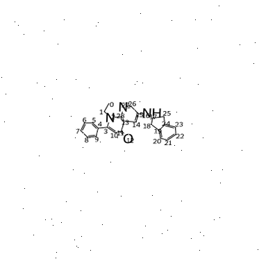 CCn1c(-c2ccccc2)cc(=O)c2cc(NC3Cc4ccccc4C3)cnc21